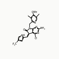 COc1c(C)cnc(CN2C(=O)/C(=C\c3cc(C(F)(F)F)c[nH]3)c3c(Cl)nc(N)nc32)c1C